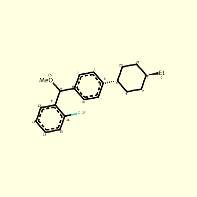 CC[C@H]1CC[C@H](c2ccc(C(OC)c3ccccc3F)cc2)CC1